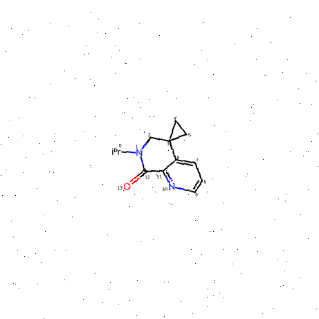 CC(C)N1CC2(CC2)c2cccnc2C1=O